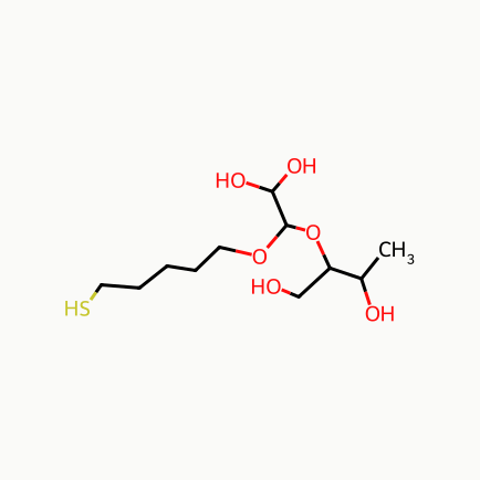 CC(O)C(CO)OC(OCCCCCS)C(O)O